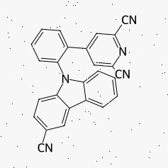 N#Cc1ccc2c(c1)c1ccccc1n2-c1ccccc1-c1cc(C#N)nc(C#N)c1